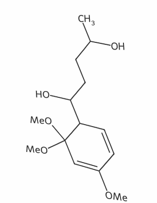 COC1=CC(OC)(OC)C(C(O)CCC(C)O)C=C1